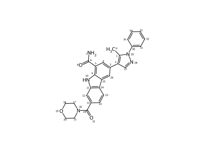 Cc1c(-c2cc(C(N)=O)c3[nH]c4cc(C(=O)N5CCOCC5)ccc4c3c2)cnn1-c1ccccc1